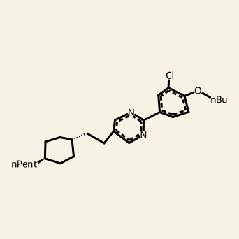 CCCCC[C@H]1CC[C@H](CCc2cnc(-c3ccc(OCCCC)c(Cl)c3)nc2)CC1